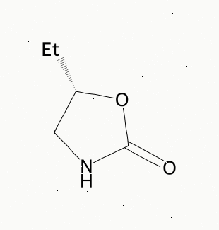 CC[C@H]1CNC(=O)O1